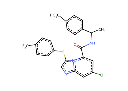 CC(NC(=O)c1cc(Cl)cc2ncc(Sc3ccc(C(F)(F)F)cc3)n12)c1ccc(C(=O)O)cc1